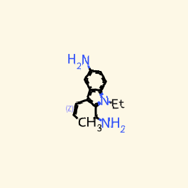 C/C=C\c1c(CN)n(CC)c2ccc(N)cc12